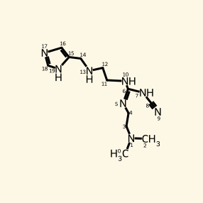 CN(C)CCN=C(NC#N)NCCNCc1cnc[nH]1